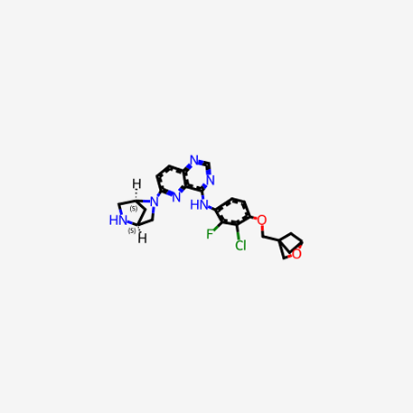 Fc1c(Nc2ncnc3ccc(N4C[C@@H]5C[C@H]4CN5)nc23)ccc(OCC23COC(C2)C3)c1Cl